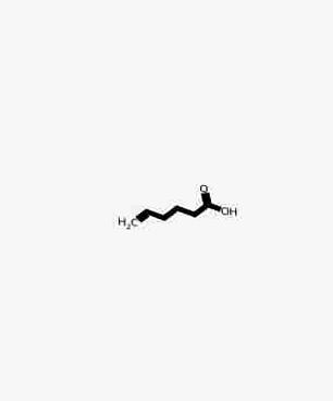 C=CC[CH]CC(=O)O